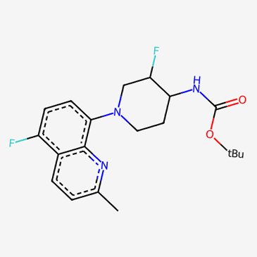 Cc1ccc2c(F)ccc(N3CCC(NC(=O)OC(C)(C)C)C(F)C3)c2n1